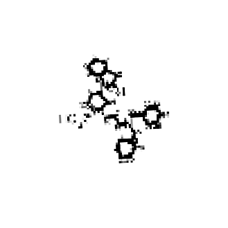 O=C1Cc2ccccc2N1C1CCN(C(=O)O)[C@@H](CCCN(Cc2ccccc2)Cc2ccccc2)C1